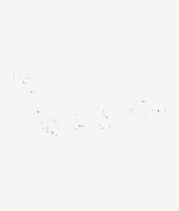 O=C(COc1ccc(Cl)cc1)NC12CCC(c3nnc(OCCOC(F)(F)F)o3)(CC1)OC2